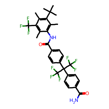 Cc1c(NC(=O)c2ccc(C(c3ccc(C(N)=O)cc3)(C(F)(F)F)C(F)(F)F)cc2)c(C)c(C(F)(F)F)c(C)c1C(C)(C)C